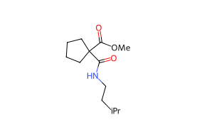 COC(=O)C1(C(=O)NCCC(C)C)CCCC1